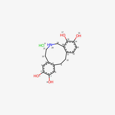 Cl.Oc1cc2c(cc1O)CCc1ccc(O)c(O)c1CNCC2